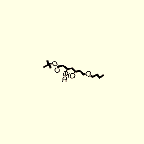 CCCCOCC[C@@H](O)C[C@@H](O)CC(=O)OC(C)(C)C